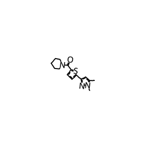 Cc1cc(-c2ccc(C(=O)N3CCCCC3)s2)nn1C